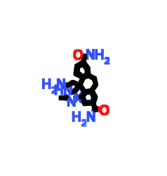 Cc1nnc(C2(CCN)c3ccc(C(N)=O)cc3CCc3cc(C(N)=O)ccc32)[nH]1